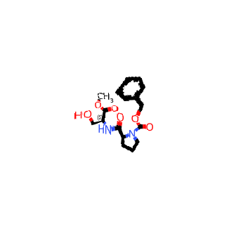 COC(=O)[C@H](CO)NC(=O)C1CCCN1C(=O)OCc1ccccc1